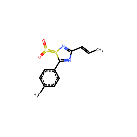 CC=CC1=NS(=S(=O)=O)C(c2ccc(C)cc2)=N1